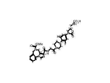 COC(=O)N1Cc2ccccc2-n2cnc(C(=O)NCC(=O)N3CCN(c4c(F)cc(N5C[C@H](CNC(=O)O)OC5=O)cc4F)CC3)c2C1